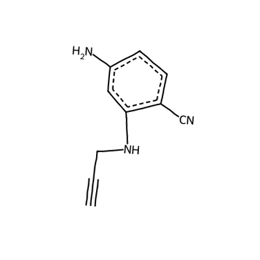 C#CCNc1cc(N)ccc1C#N